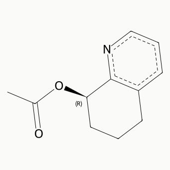 CC(=O)O[C@@H]1CCCc2cccnc21